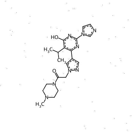 CC(C)c1c(O)nc(-n2ccnc2)nc1-c1cnn(CC(=O)N2CCN(C)CC2)c1